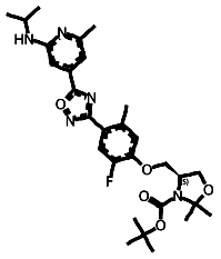 Cc1cc(-c2nc(-c3cc(F)c(OC[C@H]4COC(C)(C)N4C(=O)OC(C)(C)C)cc3C)no2)cc(NC(C)C)n1